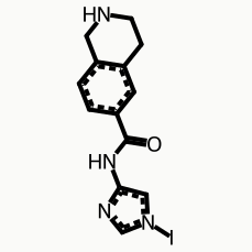 O=C(Nc1cn(I)cn1)c1ccc2c(c1)CCNC2